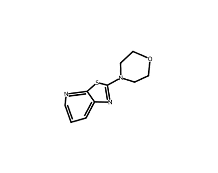 c1cnc2sc(N3CCOCC3)nc2c1